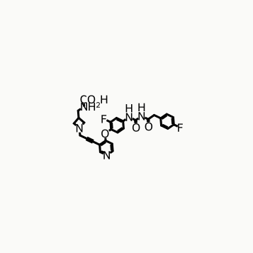 O=C(O)NCC1CN(CC#Cc2cnccc2Oc2ccc(NC(=O)NC(=O)Cc3ccc(F)cc3)cc2F)C1